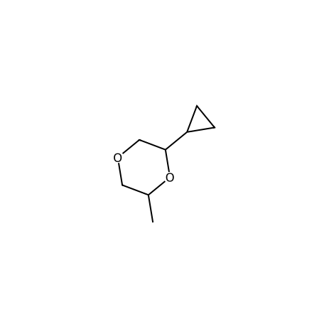 CC1COCC(C2CC2)O1